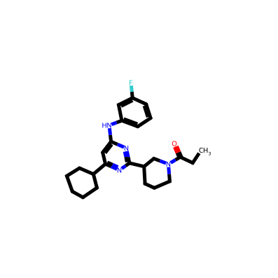 CCC(=O)N1CCCC(c2nc(Nc3cccc(F)c3)cc(C3CCCCC3)n2)C1